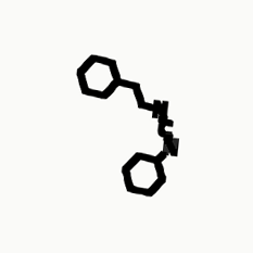 C(=NCCC1CCCCC1)=NC1CCCCC1